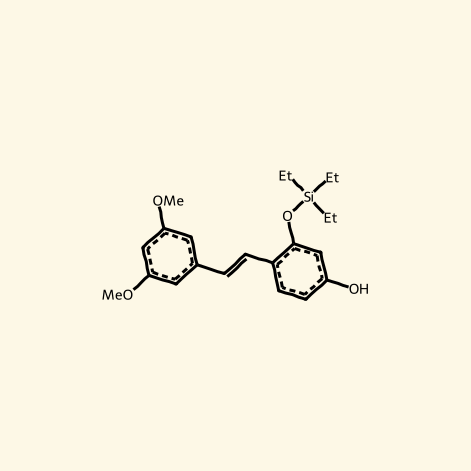 CC[Si](CC)(CC)Oc1cc(O)ccc1C=Cc1cc(OC)cc(OC)c1